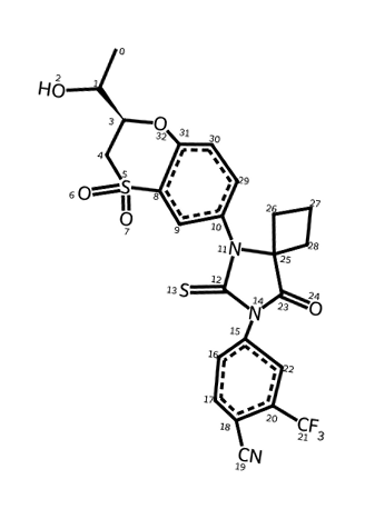 CC(O)[C@@H]1CS(=O)(=O)c2cc(N3C(=S)N(c4ccc(C#N)c(C(F)(F)F)c4)C(=O)C34CCC4)ccc2O1